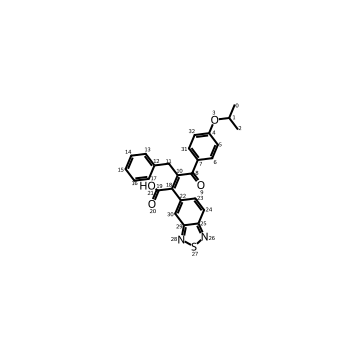 CC(C)Oc1ccc(C(=O)C(Cc2ccccc2)=C(C(=O)O)c2ccc3nsnc3c2)cc1